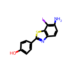 Nc1ccc2nc(-c3ccc(O)cc3)sc2c1I